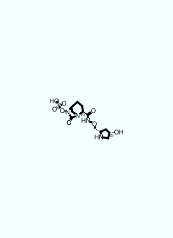 O=C(NOC[C@@H]1C[C@H](O)CN1)[C@@H]1CCC2CN1C(=O)N2OS(=O)(=O)O